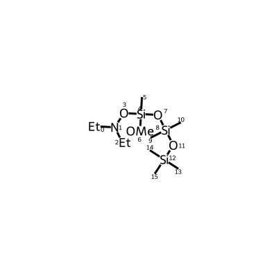 CCN(CC)O[Si](C)(OC)O[Si](C)(C)O[Si](C)(C)C